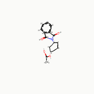 CC(=O)O[C@H]1CC[C@H](N2C(=O)c3ccccc3C2=O)C1